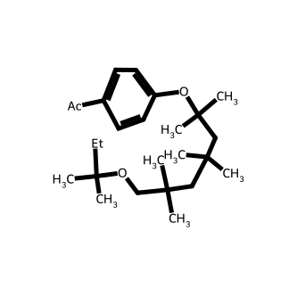 CCC(C)(C)OCC(C)(C)CC(C)(C)CC(C)(C)Oc1ccc(C(C)=O)cc1